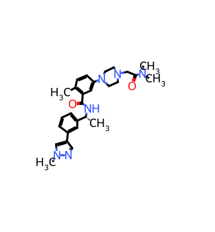 Cc1ccc(N2CCN(CC(=O)N(C)C)CC2)cc1C(=O)N[C@H](C)c1cccc(-c2cnn(C)c2)c1